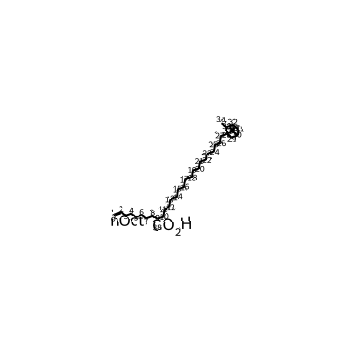 CCCCCCCC/C=C\CCCCCCC(CCCCCCCCCCCCCCCCCCC12CC(CCC1C)C2(C)C)C(=O)O